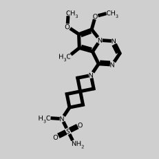 COc1c(C)c2c(N3CC4(CC(N(C)S(N)(=O)=O)C4)C3)ncnn2c1OC